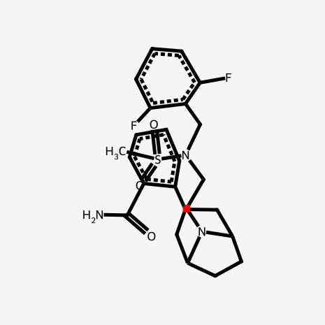 CS(=O)(=O)N(CCN1C2CCC1CC(c1ccccc1C(N)=O)C2)Cc1c(F)cccc1F